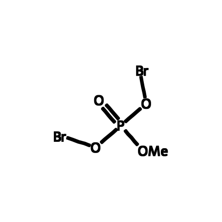 COP(=O)(OBr)OBr